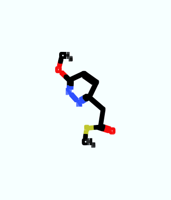 COc1ccc(CC(=O)SC)nn1